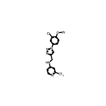 CC(C)Oc1ccc(-n2cc(CNc3ccnc(C(F)(F)F)c3)nn2)cc1Cl